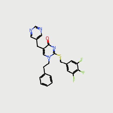 O=c1nc(SCc2cc(F)c(F)c(F)c2)n(CCc2ccccc2)cc1Cc1cncnc1